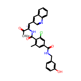 COC(=O)/C(=C/c1cnc2ccccc2c1)NC(=O)c1c(C)cc(C(=O)NCc2cccc(O)c2)cc1Cl